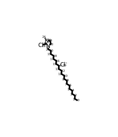 CCCCCCCCCCCCCCCCCCCCCCN1CC[N+](C)=C1Cl.[Cl-]